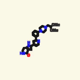 COC(CN1CCN(c2cccc(-c3cc(-c4cc5c([nH]4)CCNC5=O)ccn3)c2)CC1)OC